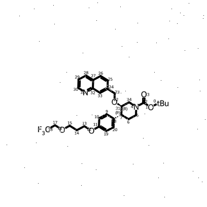 CC(C)(C)OC(=O)N1CC[C@H](c2ccc(OCCCOCC(F)(F)F)cc2)[C@@H](OCc2ccc3cccnc3c2)C1